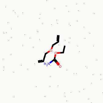 C=CCOCC=C.CCOC(N)=O